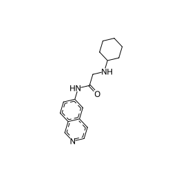 O=C(CNC1CCCCC1)Nc1ccc2cnccc2c1